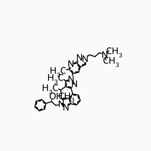 Cc1nc2nn(CCCN(C)C)cc2cc1-n1nc(-c2cccc3nn(C[C@H](O)c4ccccc4)cc23)c(C(C)C)c1C